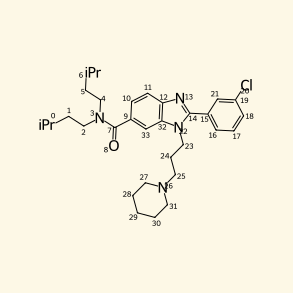 CC(C)CCN(CCC(C)C)C(=O)c1ccc2nc(-c3cccc(Cl)c3)n(CCCN3CCCCC3)c2c1